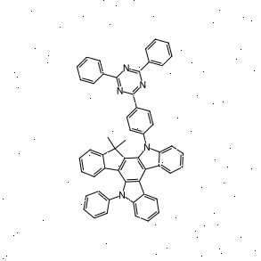 CC1(C)c2ccccc2-c2c1c1c(c3ccccc3n1-c1ccc(-c3nc(-c4ccccc4)nc(-c4ccccc4)n3)cc1)c1c3ccccc3n(-c3ccccc3)c21